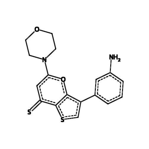 Nc1cccc(-c2csc3c(=S)cc(N4CCOCC4)oc23)c1